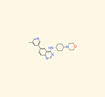 Cc1cncc(-c2ccc3ncnc(N[C@H]4CC[C@H](N5CCOCC5)CC4)c3c2)c1